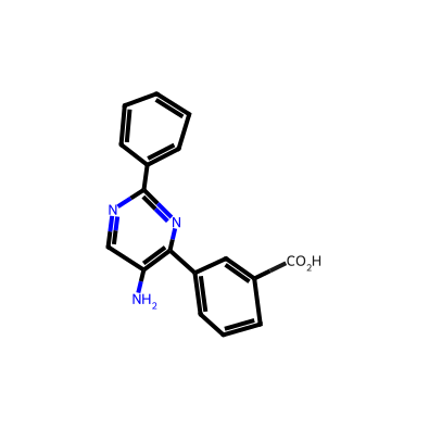 Nc1cnc(-c2ccccc2)nc1-c1cccc(C(=O)O)c1